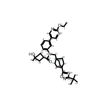 CCOc1ncc(-c2cccc(N(CC34CCC(c5nc(C(C)(C)C)no5)(CC3)CC4)C(=O)C3CC(C)(O)C3)c2)cn1